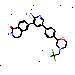 Nc1ncc(-c2ccc(C3CN(CC(F)(F)F)CCO3)cc2)cc1-c1ccc2c(c1)CCNC2=O